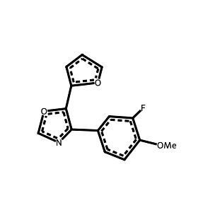 COc1ccc(-c2ncoc2-c2ccco2)cc1F